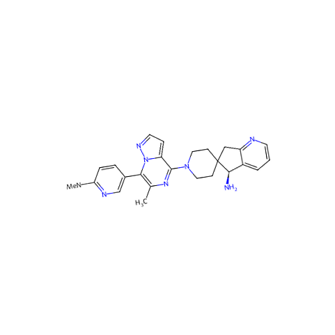 CNc1ccc(-c2c(C)nc(N3CCC4(CC3)Cc3ncccc3[C@H]4N)c3ccnn23)cn1